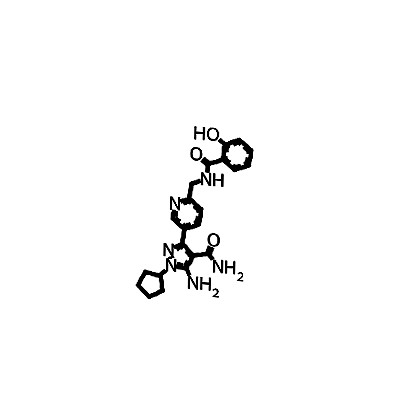 NC(=O)c1c(-c2ccc(CNC(=O)c3ccccc3O)nc2)nn(C2CCCC2)c1N